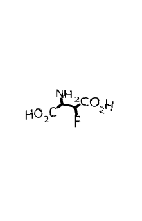 NC(C(=O)O)C(F)C(=O)O